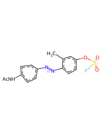 CC(=O)Nc1ccc(/N=N/c2ccc(OS(=O)(=O)F)cc2C)cc1